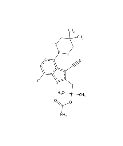 CC1(C)COB(c2ccc(F)c3sc(CC(C)(C)OC(N)=O)c(C#N)c23)OC1